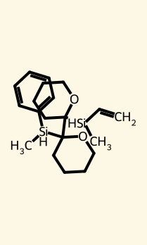 C=C[SiH](C)C1(C2([SiH](C)c3ccccc3)CCCCO2)CCCCO1